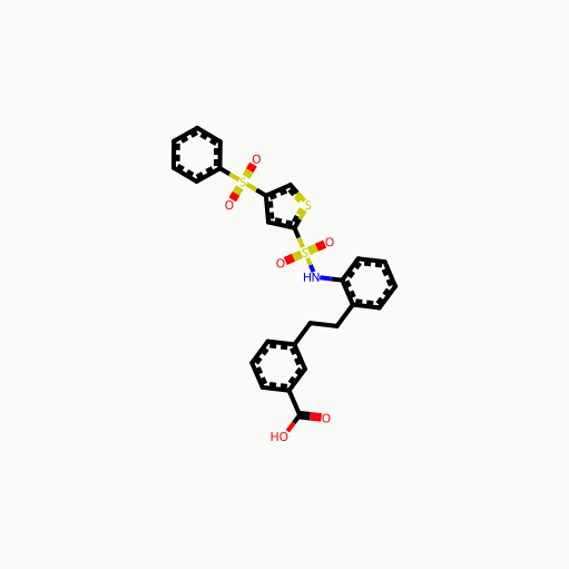 O=C(O)c1cccc(CCc2ccccc2NS(=O)(=O)c2cc(S(=O)(=O)c3ccccc3)cs2)c1